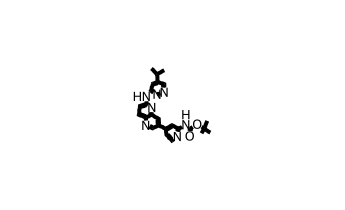 CC(C)c1cnnc(Nc2ccc3ncc(-c4ccnc(NC(=O)OC(C)(C)C)c4)cc3n2)c1